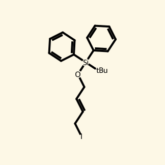 CC(C)(C)[Si](OCC=CCI)(c1ccccc1)c1ccccc1